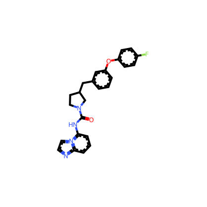 O=C(Nc1cccc2nccn12)N1CCC(Cc2cccc(Oc3ccc(F)cc3)c2)C1